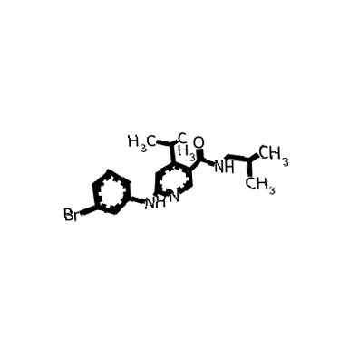 CC(C)CNC(=O)c1cnc(Nc2cccc(Br)c2)cc1C(C)C